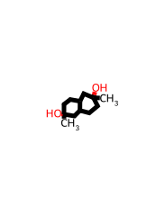 CC1(O)CCC2CC(C)(O)CCC2C1